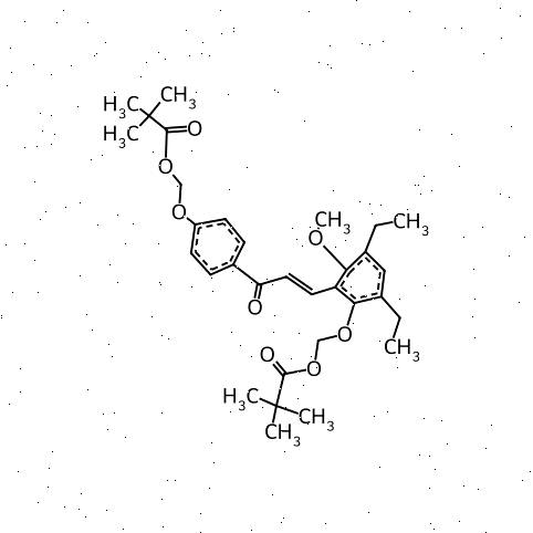 CCc1cc(CC)c(OCOC(=O)C(C)(C)C)c(C=CC(=O)c2ccc(OCOC(=O)C(C)(C)C)cc2)c1OC